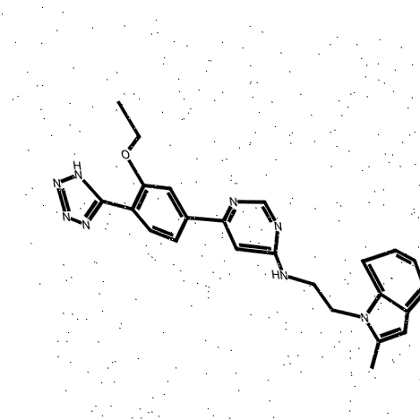 CCOc1cc(-c2cc(NCCn3c(C)cc4ccccc43)ncn2)ccc1-c1nnn[nH]1